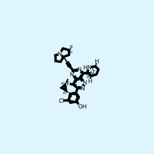 C[C@@H]1C[C@H]1c1c(Cl)cc(O)cc1-c1nnc2c(N3C[C@H]4CC[C@@H]3CN4)nc(C#C[C@@]34CCCN3C[C@H](F)C4)nc2c1F